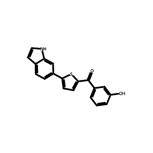 O=C(c1cccc(O)c1)c1ccc(-c2ccc3cc[nH]c3c2)s1